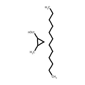 [CH2]C1CC1CCCCCCCC.[CH2]CCCCCCCCCCC